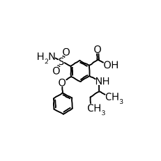 CCC(C)Nc1cc(Oc2ccccc2)c(S(N)(=O)=O)cc1C(=O)O